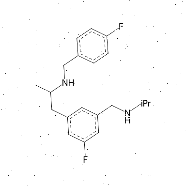 CC(C)NCc1cc(F)cc(CC(C)NCc2ccc(F)cc2)c1